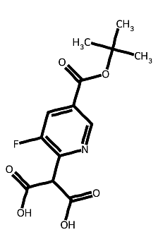 CC(C)(C)OC(=O)c1cnc(C(C(=O)O)C(=O)O)c(F)c1